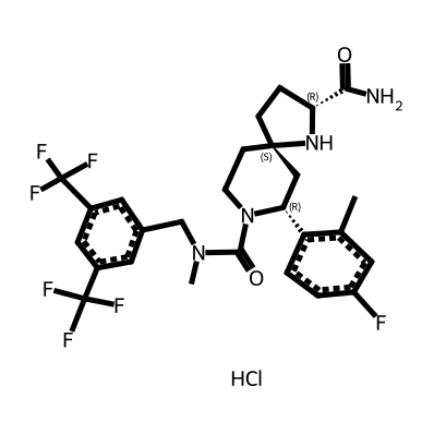 Cc1cc(F)ccc1[C@H]1C[C@]2(CC[C@H](C(N)=O)N2)CCN1C(=O)N(C)Cc1cc(C(F)(F)F)cc(C(F)(F)F)c1.Cl